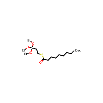 CCCCCCCCCCCCCCCCCC(=O)SCC[Si](OCC)(OCC)OCC